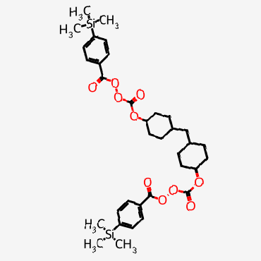 C[Si](C)(C)c1ccc(C(=O)OOC(=O)OC2CCC(CC3CCC(OC(=O)OOC(=O)c4ccc([Si](C)(C)C)cc4)CC3)CC2)cc1